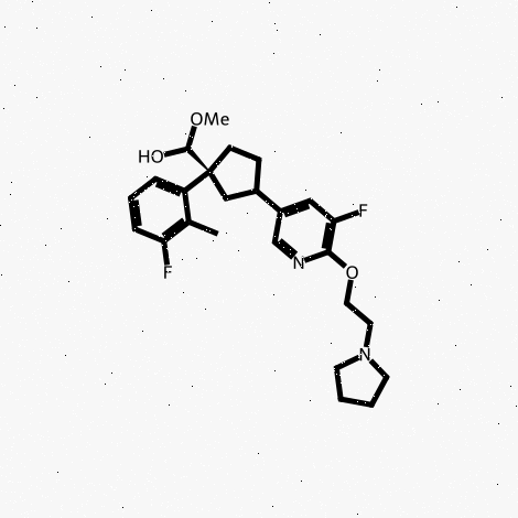 COC(O)[C@@]1(c2cccc(F)c2C)CCC(c2cnc(OCCN3CCCC3)c(F)c2)C1